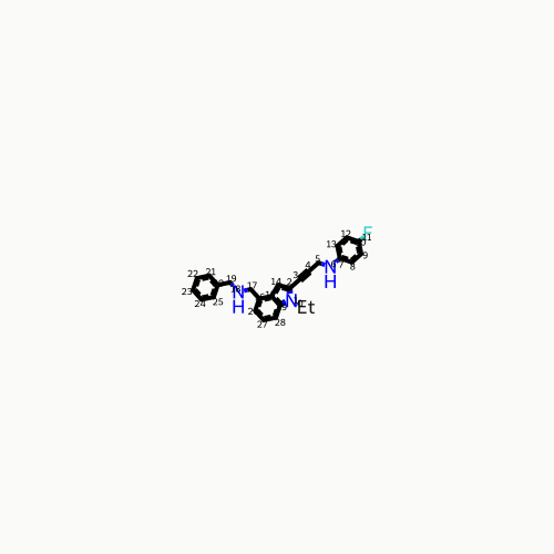 CCn1c(C#CCNc2ccc(F)cc2)cc2c(CNCc3ccccc3)cccc21